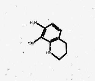 CC(C)(C)c1c(N)ccc2c1NCCC2